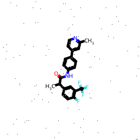 Cc1cc(-c2ccc(NC(=O)C(C)c3ccc(F)c(C(F)(F)F)c3)cc2)ccn1